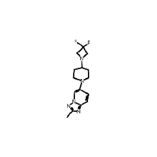 Cc1nc2ccc(N3CCC(N4CC(F)(F)C4)CC3)cn2n1